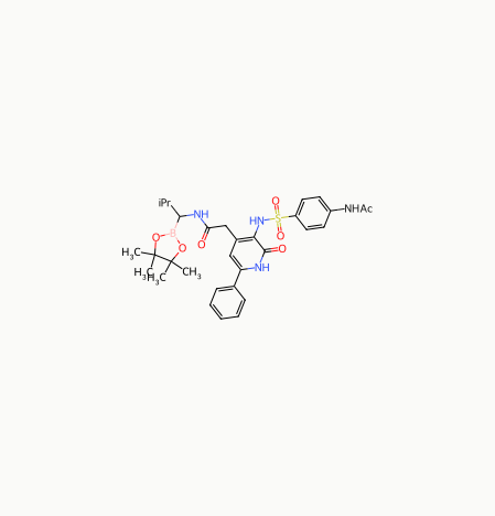 CC(=O)Nc1ccc(S(=O)(=O)Nc2c(CC(=O)NC(B3OC(C)(C)C(C)(C)O3)C(C)C)cc(-c3ccccc3)[nH]c2=O)cc1